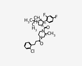 C[C@H]1CN(C(=O)CCc2ccccc2Cl)CCN1C(=O)[C@@H]1CN(C(C)(C)C)C[C@H]1c1ccc(F)cc1F